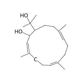 CC1=CCCC(C)=CC(O)C(C(C)(C)O)CCC(C)=CCC1